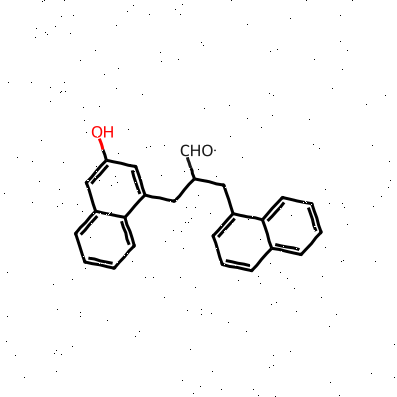 O=[C]C(Cc1cccc2ccccc12)Cc1cc(O)cc2ccccc12